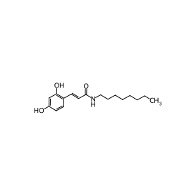 CCCCCCCCNC(=O)C=Cc1ccc(O)cc1O